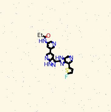 CCC(=O)Nc1cncc(-c2cnc3[nH]nc(-c4nc5c(-c6ccc(F)s6)cncc5[nH]4)c3c2)c1